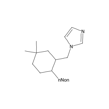 CCCCCCCCCC1CCC(C)(C)CC1Cn1ccnc1